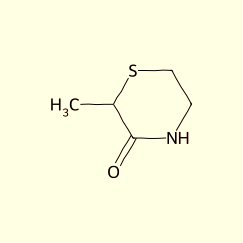 CC1SCCNC1=O